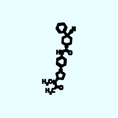 CC(=O)N(C)C1CCN(c2ccc(NC(=O)N3CCC(C#N)(c4ccccc4)CC3)cc2)C1